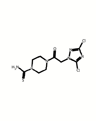 NC(=S)N1CCN(C(=O)Cn2nc(Cl)nc2Cl)CC1